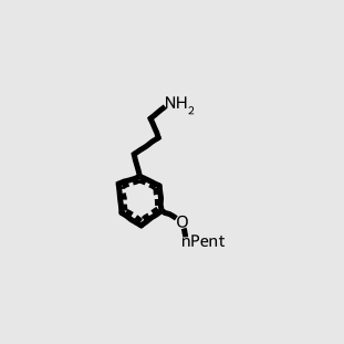 CCCCCOc1cccc(CCCN)c1